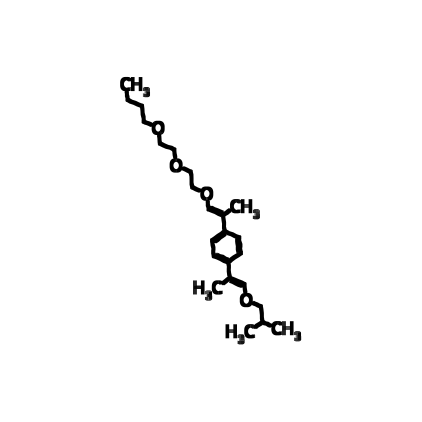 CCCCOCCOCCOC=C(C)c1ccc(C(C)=COCC(C)C)cc1